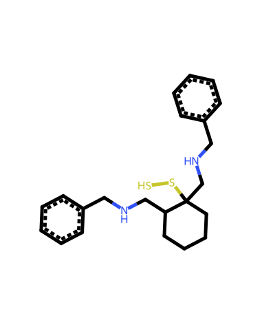 SSC1(CNCc2ccccc2)CCCCC1CNCc1ccccc1